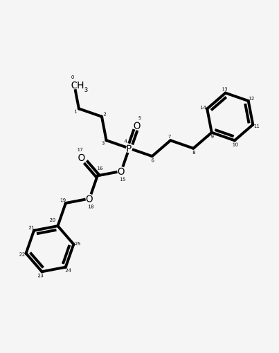 CCCCP(=O)(CCCc1ccccc1)OC(=O)OCc1ccccc1